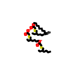 CCCCC(CC)CSCC(=O)[O-].CCCCC(CC)CSCC(=O)[O-].CCCCC(CC)CSCC(=O)[O-].CCCCCCC[CH2][Sn+3]